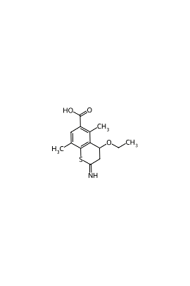 CCOC1CC(=N)Sc2c(C)cc(C(=O)O)c(C)c21